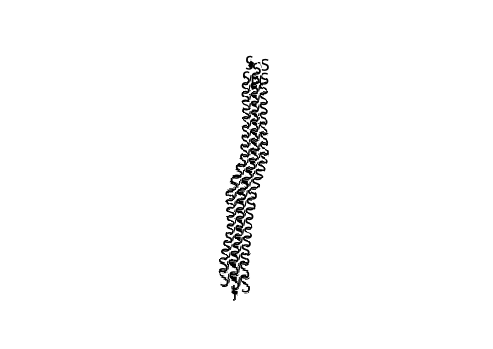 S=[SH](=S)S(=S)(=S)S(=S)(=S)S(=S)(=S)S(=S)(=S)S(=S)(=S)S(=S)(=S)S(=S)(=S)S(=S)(=S)S(=S)(=S)S(=S)(=S)S(=S)(=S)S(=S)(=S)S(=S)(=S)S(=S)(=S)S(=S)(=S)S(=S)(=S)S(=S)(=S)S(=S)(=S)S(=S)(=S)S(=S)(=S)S(=S)(=S)S(=S)(=S)I